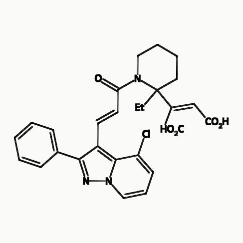 CCC1(/C(=C/C(=O)O)C(=O)O)CCCCN1C(=O)C=Cc1c(-c2ccccc2)nn2cccc(Cl)c12